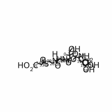 CC(C)(CO)C(OC(=O)C(N)Cc1ccc(O)c(O)c1)C(=O)NCCC(=O)NCCSC(=O)CCC(=O)O